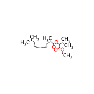 CCOC(=O)C(OC(=O)C(C)C/C=C\C/C=C\CC(C)C)C(C)C